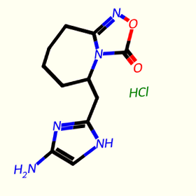 Cl.Nc1c[nH]c(CC2CCCCc3noc(=O)n32)n1